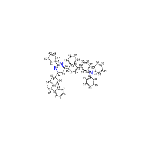 CC1(C)c2ccccc2-c2cc(-c3cc(-c4ccc(-c5ccc6c(c5)N(c5ccccc5)C5C=CC=CC65)c5ccccc45)nc(-c4ccccc4)n3)ccc21